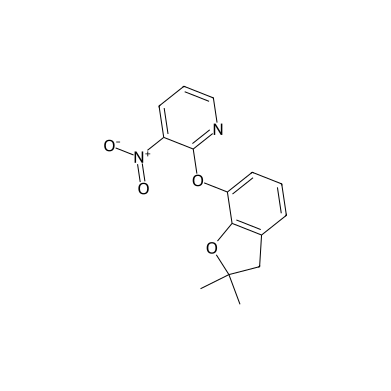 CC1(C)Cc2cccc(Oc3ncccc3[N+](=O)[O-])c2O1